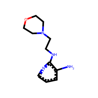 Nc1cccnc1NCCN1CCOCC1